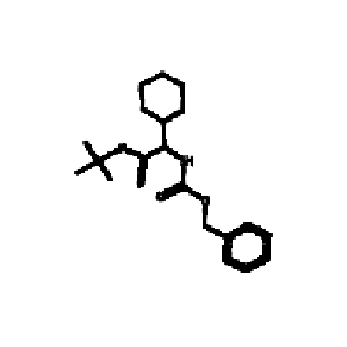 CC(C)(C)OC(=O)C(NC(=O)OCc1ccccc1)C1CCCCC1